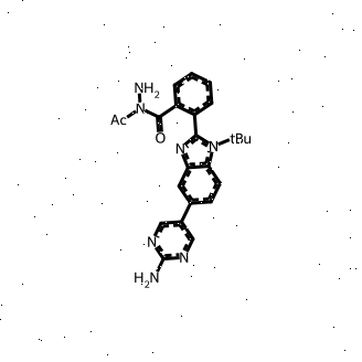 CC(=O)N(N)C(=O)c1ccccc1-c1nc2cc(-c3cnc(N)nc3)ccc2n1C(C)(C)C